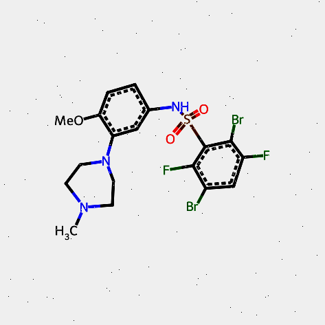 COc1ccc(NS(=O)(=O)c2c(F)c(Br)cc(F)c2Br)cc1N1CCN(C)CC1